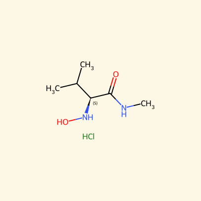 CNC(=O)[C@@H](NO)C(C)C.Cl